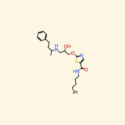 CC(C)CCCCNC(=O)c1cnc(OCC(O)CNC(C)CCc2ccccc2)s1